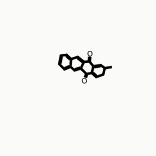 CC1C=C2C(=O)c3cc4ccccc4cc3C(=O)C2=CC1